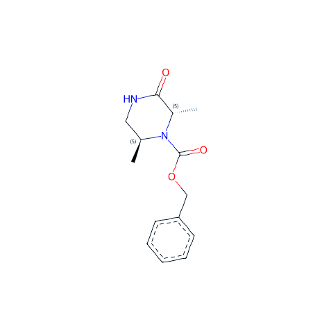 C[C@H]1CNC(=O)[C@H](C)N1C(=O)OCc1ccccc1